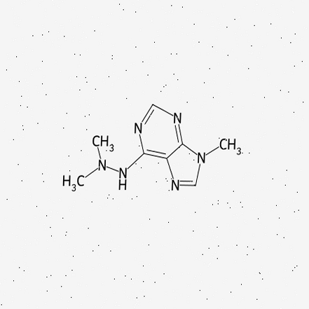 CN(C)Nc1ncnc2c1ncn2C